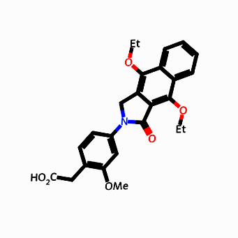 CCOc1c2c(c(OCC)c3ccccc13)C(=O)N(c1ccc(CC(=O)O)c(OC)c1)C2